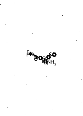 Nc1ncnc(OC2CCN(C(=O)/C=C/CN3CC(F)(F)C3)CC2)c1-c1ccc(Oc2ccccc2)cc1